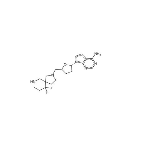 Nc1ncnc2c1ccn2C1CCC(CN2CCC3(CNCCC3(F)F)C2)O1